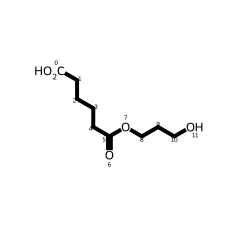 O=C(O)CCCCC(=O)OCCCO